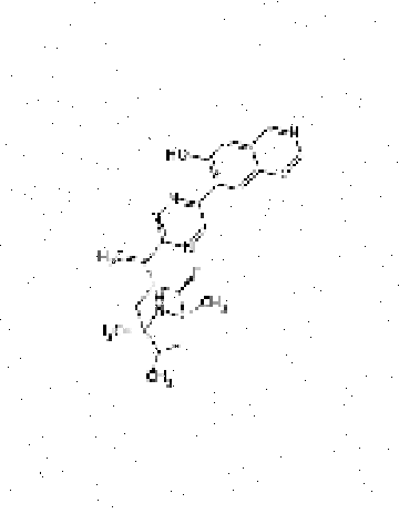 C=C(c1ncc(-c2cc3ccncc3cc2O)nn1)[C@H]1C[C@@]2(C)N[C@](C)(CC2C)[C@@H]1F